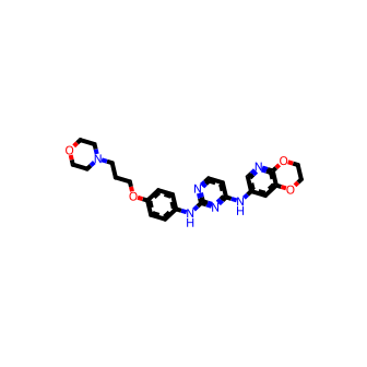 c1cc(Nc2cnc3c(c2)OCCO3)nc(Nc2ccc(OCCCN3CCOCC3)cc2)n1